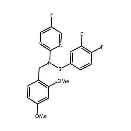 COc1ccc(CN(Sc2ccc(F)c(Cl)c2)c2ncc(F)cn2)c(OC)c1